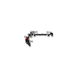 CCC(=O)O[C@]1(C(=O)COCNC(=O)[C@H](CCC(=O)O)NC(=O)CNC(=O)CCOCCOCCOCCOCCNC(=O)CCN2C(=O)C=CC2=O)[C@@H](C)CC2[C@@H]3CCC4=CC(=O)C=C[C@]4(C)[C@@]3(Cl)[C@@H](O)C[C@@]21C